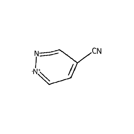 N#CC1=CC=[N+]N=C1